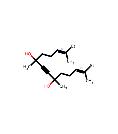 CC/C(C)=C/CCC(C)(O)C#CC(C)(O)CC/C=C(\C)CC